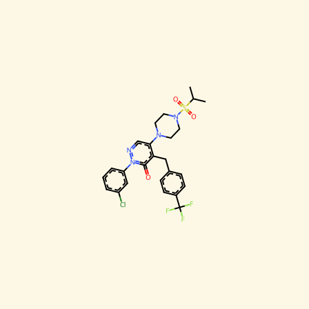 CC(C)S(=O)(=O)N1CCN(c2cnn(-c3cccc(Cl)c3)c(=O)c2Cc2ccc(C(F)(F)F)cc2)CC1